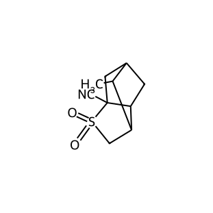 CC1C2CC3C1CS(=O)(=O)C3(C#N)C2